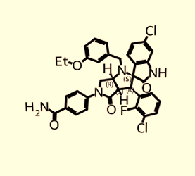 CCOc1cccc(CN2[C@H]3CN(c4ccc(C(N)=O)cc4)C(=O)[C@H]3[C@H](c3cccc(Cl)c3F)[C@]23C(=O)Nc2cc(Cl)ccc23)c1